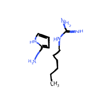 CCCCCNC(=N)N.Nc1ccc[nH]1